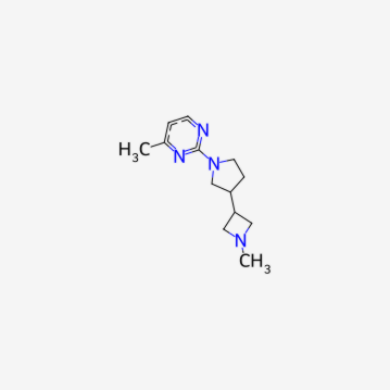 Cc1ccnc(N2CCC(C3CN(C)C3)C2)n1